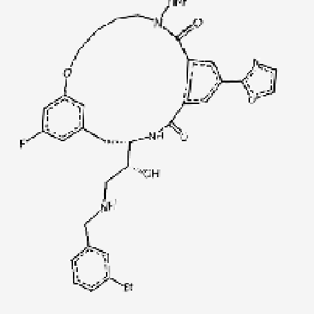 CCCN1CCCCOc2cc(F)cc(c2)C[C@@H]([C@H](O)CNCc2cccc(CC)c2)NC(=O)c2cc(cc(-c3ncco3)c2)C1=O